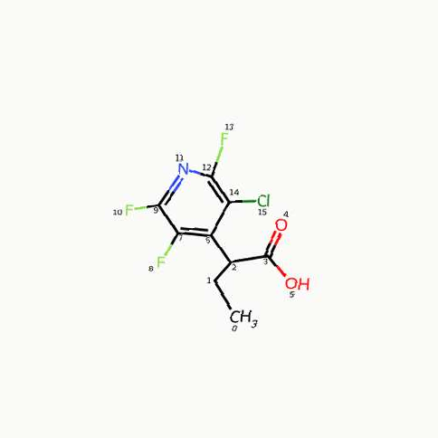 CCC(C(=O)O)c1c(F)c(F)nc(F)c1Cl